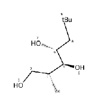 C[C@H](CO)[C@H](O)[C@H](O)CC(C)(C)C